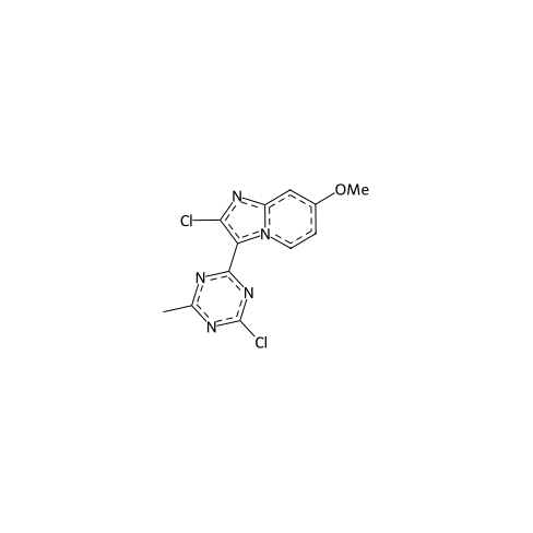 COc1ccn2c(-c3nc(C)nc(Cl)n3)c(Cl)nc2c1